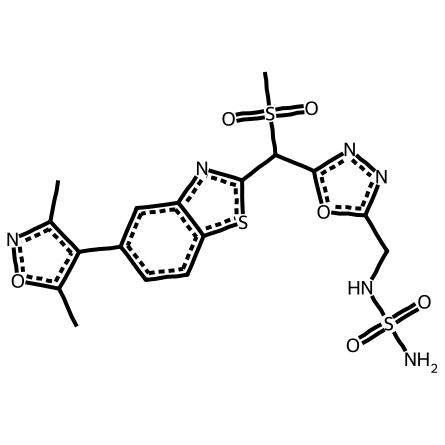 Cc1noc(C)c1-c1ccc2sc(C(c3nnc(CNS(N)(=O)=O)o3)S(C)(=O)=O)nc2c1